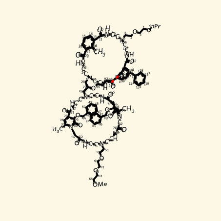 CCCOCCOCCN1CCNC(=O)c2cccc(c2C)C(=O)NCCN(CC(CN2CCNC(=O)c3cc(C)n(c(=O)c3OCc3ccccc3)CC(=O)NCCN(CCOCCOCCOC)CCNC(=O)Cn3c(C)cc(c(OCc4ccccc4)c3=O)C(=O)NCC2)OCCCCN)CCNC(=O)c2cccc(c2OCc2ccccc2)C(=O)NCC1